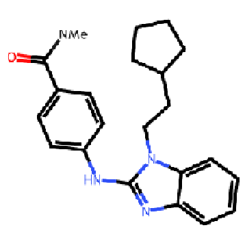 CNC(=O)c1ccc(Nc2nc3ccccc3n2CCC2CCCC2)cc1